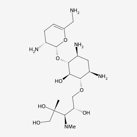 CN[C@H]([C@@H](O)CO[C@@H]1[C@@H](O)[C@H](O[C@H]2OC(CN)=CC[C@H]2N)[C@@H](N)C[C@H]1N)[C@@](C)(O)CO